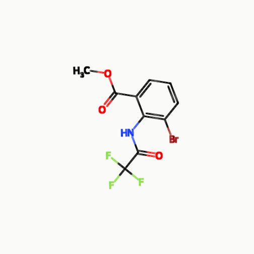 COC(=O)c1cccc(Br)c1NC(=O)C(F)(F)F